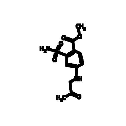 COC(=O)c1ccc(NCC(C)=O)cc1S(N)(=O)=O